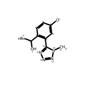 CCCCC(O)c1ccc(Cl)cc1-c1nnnn1C